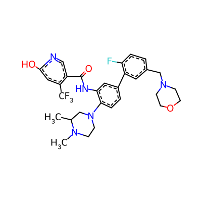 CC1CN(c2ccc(-c3cc(CN4CCOCC4)ccc3F)cc2NC(=O)c2cnc(O)cc2C(F)(F)F)CCN1C